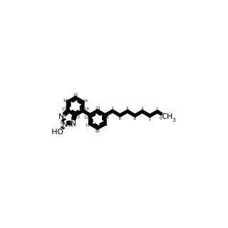 CCCCCCCCc1cccc(-c2cccc3nn(O)nc23)c1